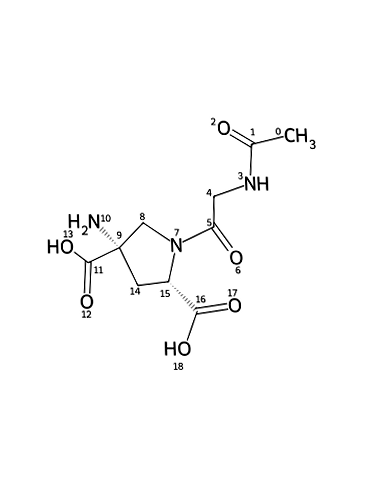 CC(=O)NCC(=O)N1C[C@](N)(C(=O)O)C[C@H]1C(=O)O